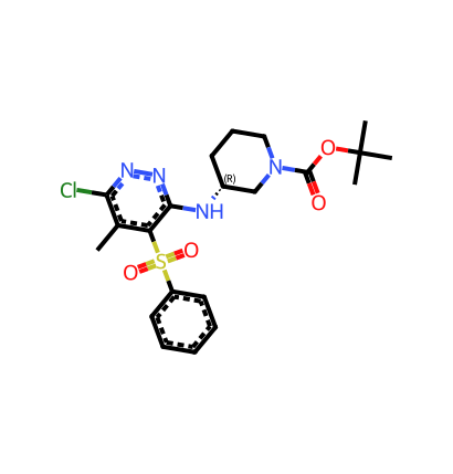 Cc1c(Cl)nnc(N[C@@H]2CCCN(C(=O)OC(C)(C)C)C2)c1S(=O)(=O)c1ccccc1